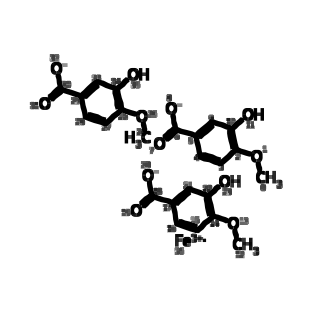 COc1ccc(C(=O)[O-])cc1O.COc1ccc(C(=O)[O-])cc1O.COc1ccc(C(=O)[O-])cc1O.[Fe+3]